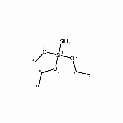 CCO[Si]([SiH3])(OC)OCC